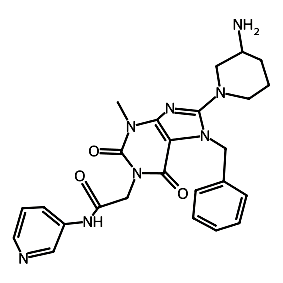 Cn1c(=O)n(CC(=O)Nc2cccnc2)c(=O)c2c1nc(N1CCCC(N)C1)n2Cc1ccccc1